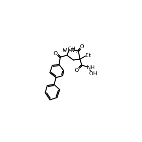 CCC(CC(C)C(=O)c1ccc(-c2ccccc2)cc1)(C(=O)NC)C(=O)NO